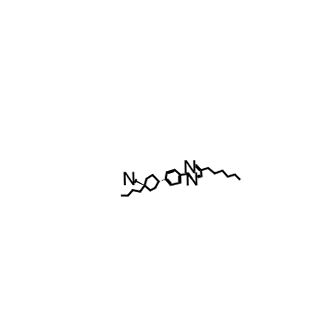 CCCCCCc1cnc(-c2ccc([C@H]3CC[C@@](C#N)(CCCC)CC3)cc2)nc1